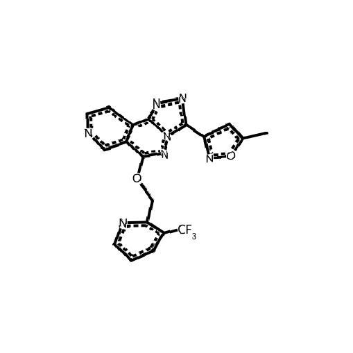 Cc1cc(-c2nnc3c4ccncc4c(OCc4ncccc4C(F)(F)F)nn23)no1